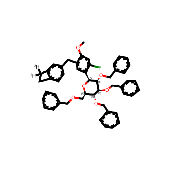 [2H]C1([2H])Cc2ccc(Cc3cc([C@@H]4O[C@H](COCc5ccccc5)[C@@H](OCc5ccccc5)[C@H](OCc5ccccc5)[C@H]4OCc4ccccc4)c(F)cc3OC)cc21